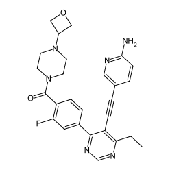 CCc1ncnc(-c2ccc(C(=O)N3CCN(C4COC4)CC3)c(F)c2)c1C#Cc1ccc(N)nc1